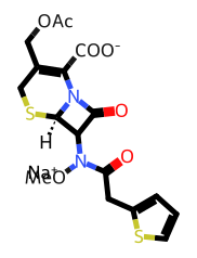 CON(C(=O)Cc1cccs1)C1C(=O)N2C(C(=O)[O-])=C(COC(C)=O)CS[C@H]12.[Na+]